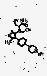 CCCN1CCN(c2ccc(-c3c(C)nsc3N(CC#N)[C@@H](CC(C)C)C(N)=O)cc2)CC1